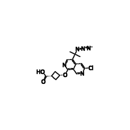 CC(C)(N=[N+]=[N-])c1cnc(O[C@H]2C[C@@H](C(=O)O)C2)c2cnc(Cl)cc12